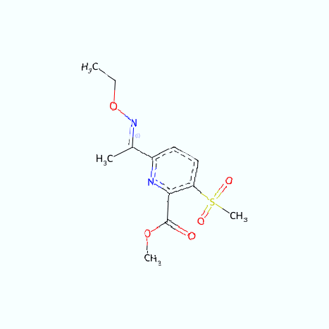 CCO/N=C(\C)c1ccc(S(C)(=O)=O)c(C(=O)OC)n1